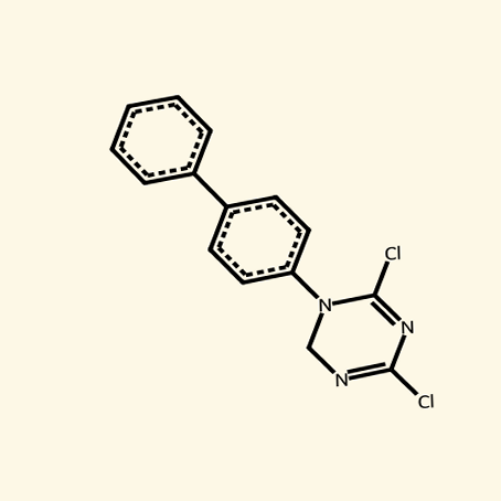 ClC1=NCN(c2ccc(-c3ccccc3)cc2)C(Cl)=N1